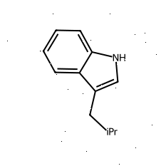 CC(C)Cc1c[nH]c2cc[c]cc12